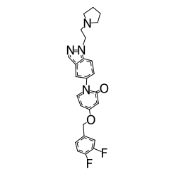 O=c1cc(OCc2ccc(F)c(F)c2)ccn1-c1ccc2c(cnn2CCN2CCCC2)c1